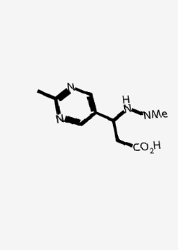 CNNC(CC(=O)O)c1cnc(C)nc1